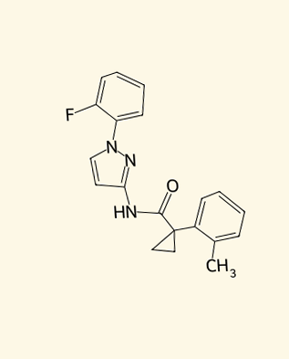 Cc1ccccc1C1(C(=O)Nc2ccn(-c3ccccc3F)n2)CC1